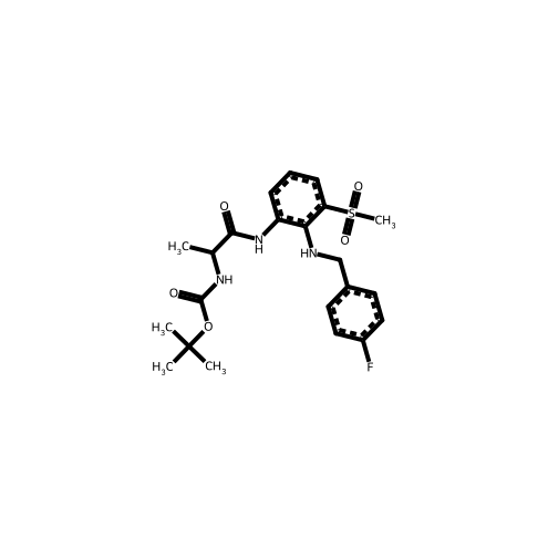 CC(NC(=O)OC(C)(C)C)C(=O)Nc1cccc(S(C)(=O)=O)c1NCc1ccc(F)cc1